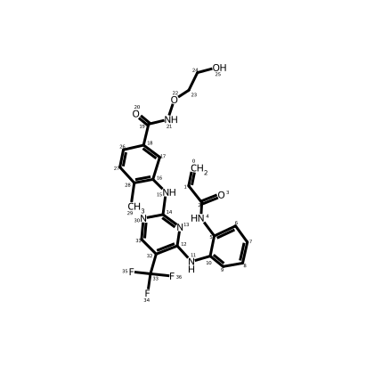 C=CC(=O)Nc1ccccc1Nc1nc(Nc2cc(C(=O)NOCCO)ccc2C)ncc1C(F)(F)F